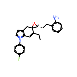 CCC1=Cc2c(ccn2-c2ccc(F)cc2)CC12O[C@@H]2CCc1ccccc1N